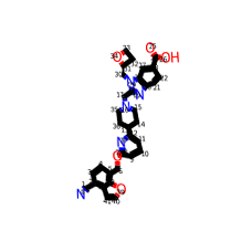 N#Cc1ccc(COc2cccc(C3CCN(Cc4nc5ccc(C(=O)O)cc5n4C[C@@H]4CCO4)CC3)n2)c2occc12